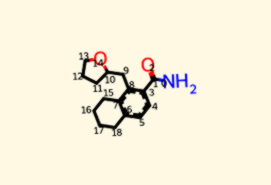 NC(=O)c1ccc2c(c1CC1CCCO1)CCCC2